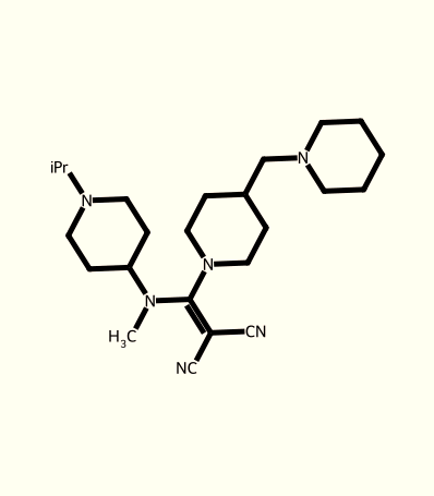 CC(C)N1CCC(N(C)C(=C(C#N)C#N)N2CCC(CN3CCCCC3)CC2)CC1